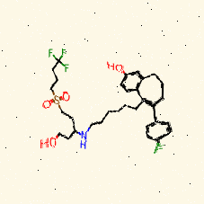 O=S(=O)(CCCC(F)(F)F)CCC(CCO)NCCCCCCC1=C(c2ccc(F)cc2)CCCc2cc(O)ccc21